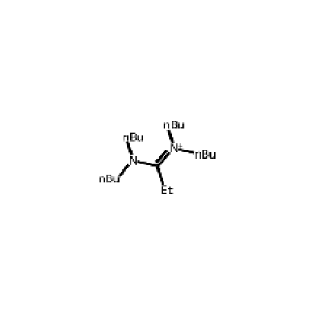 CCCCN(CCCC)C(CC)=[N+](CCCC)CCCC